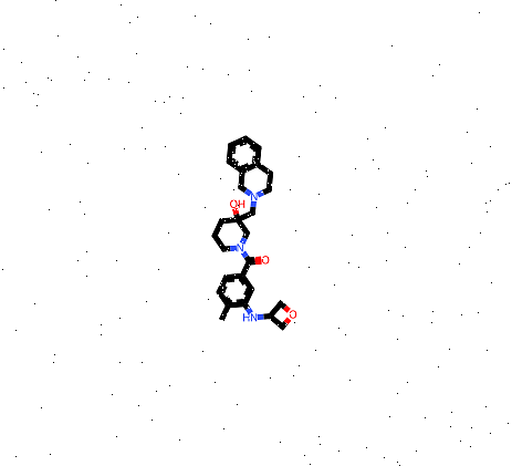 Cc1ccc(C(=O)N2CCCC(O)(CN3CCc4ccccc4C3)C2)cc1NC1COC1